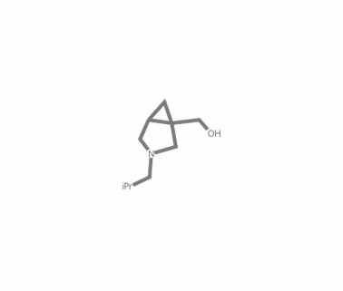 CC(C)CN1CC2CC2(CO)C1